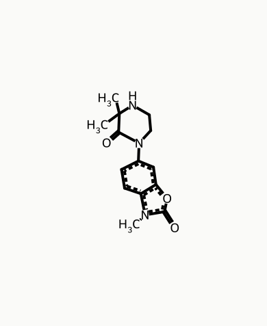 Cn1c(=O)oc2cc(N3CCNC(C)(C)C3=O)ccc21